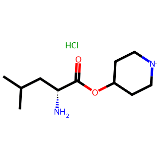 CC(C)C[C@@H](N)C(=O)OC1CC[N]CC1.Cl